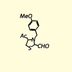 COc1ccc(CN2C(C=O)SC[C@H]2C(C)=O)cc1